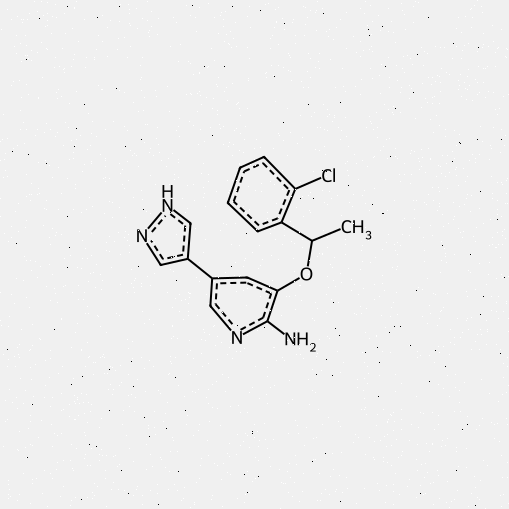 CC(Oc1cc(-c2cn[nH]c2)cnc1N)c1ccccc1Cl